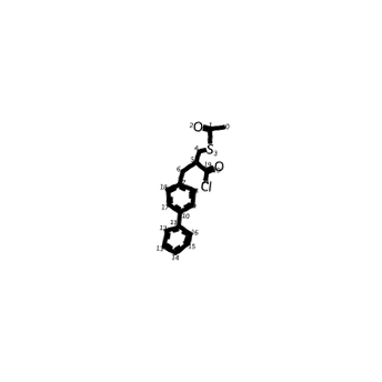 CC(=O)SCC(Cc1ccc(-c2ccccc2)cc1)C(=O)Cl